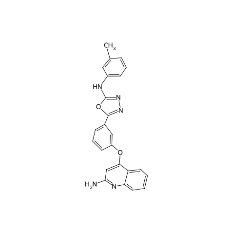 Cc1cccc(Nc2nnc(-c3cccc(Oc4cc(N)nc5ccccc45)c3)o2)c1